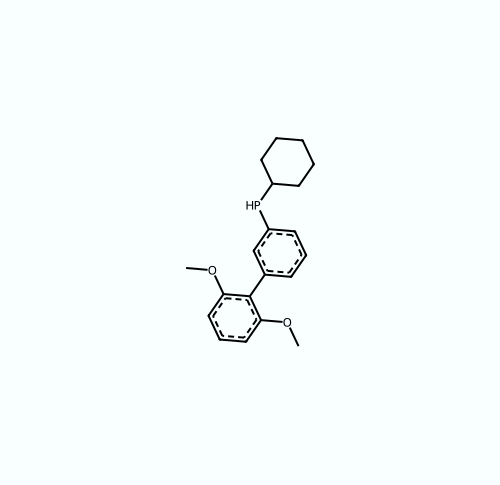 COc1cccc(OC)c1-c1cccc(PC2CCCCC2)c1